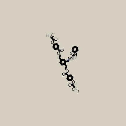 C=CC(=O)Oc1ccc(C(=O)OCCc2ccc(CCOC(=O)c3ccc(OC(=O)C=C)cc3)c(/C=N/Nc3nc4ccccc4s3)c2)cc1